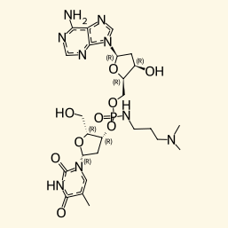 Cc1cn([C@H]2C[C@@H](OP(=O)(NCCCN(C)C)OC[C@H]3O[C@@H](n4cnc5c(N)ncnc54)C[C@H]3O)[C@@H](CO)O2)c(=O)[nH]c1=O